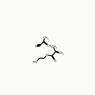 C=C(C)C#N.C=C(C)C(=O)OCCO